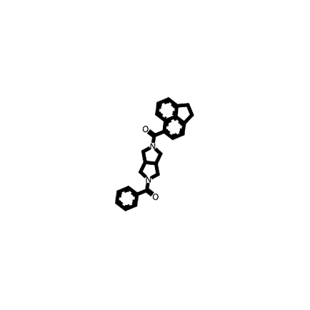 O=C(c1ccccc1)N1CC2CN(C(=O)c3ccc4c5c(cccc35)CC4)CC2C1